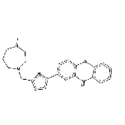 CN1CCCN(Cc2nc(-c3ccc4c(c3)Nc3ccccc3S4)cs2)CC1